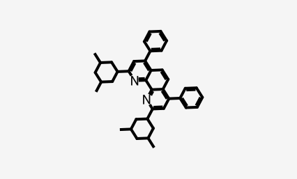 CC1CC(C)CC(c2cc(-c3ccccc3)c3ccc4c(-c5ccccc5)cc(C5CC(C)CC(C)C5)nc4c3n2)C1